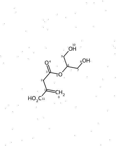 C=C(CC(=O)OC(CO)CO)C(=O)O